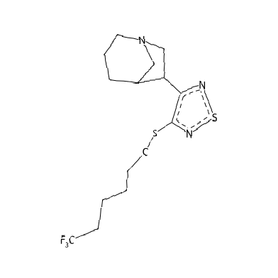 FC(F)(F)CCCCCSc1nsnc1C1CN2CCCC1C2